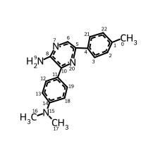 Cc1ccc(-c2cnc(N)c(-c3ccc(N(C)C)cc3)n2)cc1